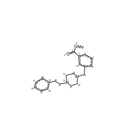 COC(=O)c1cccc(CN2CCN(CCc3ccccc3)CC2)c1